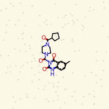 Cc1ccc2[nH]c(=O)n(C(=O)N3CCN(C(=O)C4CCCC4)CC3)c(=O)c2c1